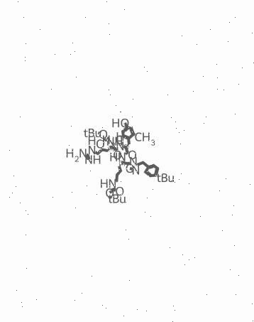 Cc1cc(O)cc(C)c1C[C@H](NC(=O)[C@@H](CCCNC(=N)N)NC(=O)OC(C)(C)C)C(=O)N[C@@H](CCCCNC(=O)OC(C)(C)C)c1nc(Cc2ccc(C(C)(C)C)cc2)no1